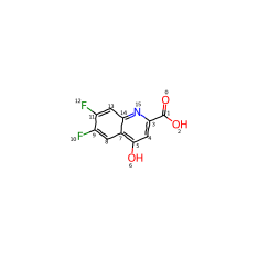 O=C(O)c1cc(O)c2cc(F)c(F)cc2n1